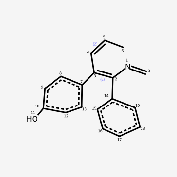 C=N/C(=C(\C=C/C)c1ccc(O)cc1)c1ccccc1